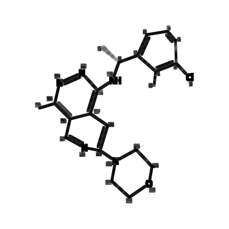 Cc1c(Cl)cccc1[C@@H](C)Nc1nnc(C)c2cnc(N3CCOCC3)cc12